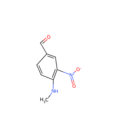 CNc1ccc(C=O)cc1[N+](=O)[O-]